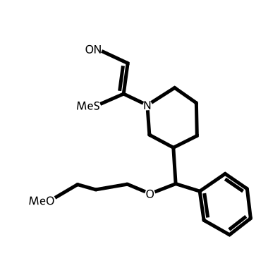 COCCCOC(c1ccccc1)C1CCCN(/C(=C/N=O)SC)C1